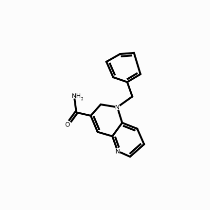 NC(=O)C1=Cc2ncccc2N(Cc2ccccc2)C1